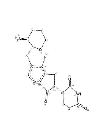 N[C@H]1CCCO[C@@H]1Cc1ccc2c(c1F)CN([C@H]1CCC(=O)NC1=O)C2=O